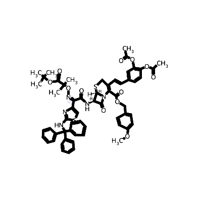 COc1ccc(COC(=O)C2=C(C=Cc3ccc(OC(C)=O)c(OC(C)=O)c3)CS[C@@H]3[C@H](NC(=O)/C(=N\OC(C)(C)C(=O)OC(C)(C)C)c4csc(NC(c5ccccc5)(c5ccccc5)c5ccccc5)n4)C(=O)N23)cc1